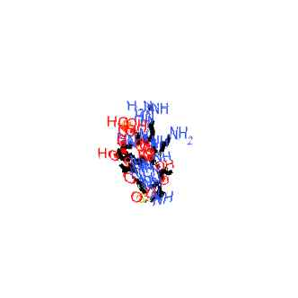 CC[C@H](C)[C@H](N)C(=O)N[C@H](Cc1c[nH]cn1)C(=O)N[C@@H](CC[S+](C)[O-])C(=O)N[C@H](C(=O)N[C@@H](Cc1ccc(O)cc1)C(=O)N[C@@H](CO)C(=O)N[C@@H](CCCCN)C(=O)NC(CCCNC(=N)N)C(=O)N[C@@H](COP(=O)(O)O)C(=O)NCC(C)=O)C(C)C